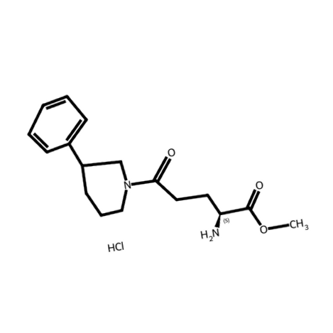 COC(=O)[C@@H](N)CCC(=O)N1CCCC(c2ccccc2)C1.Cl